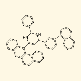 C1=C(c2c3ccccc3cc3ccc4ccccc4c23)NC(c2ccccc2)NC1c1ccc2c(c1)-c1cccc3cccc-2c13